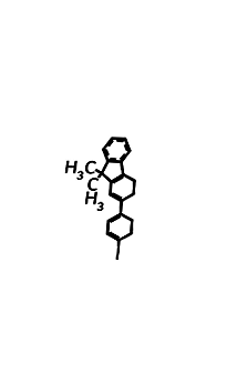 CC1(C)C2=C(CCC(C3=CC=C(I)CC3)=C2)c2ccccc21